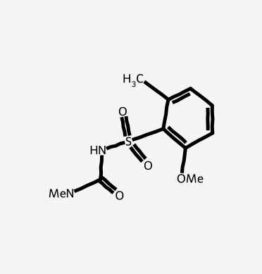 CNC(=O)NS(=O)(=O)c1c(C)cccc1OC